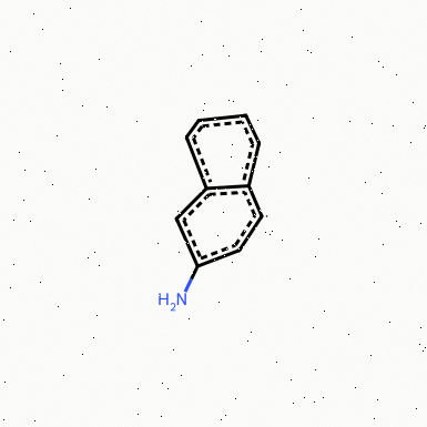 Nc1c[c]c2ccccc2c1